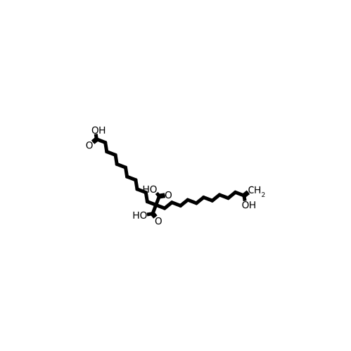 C=C(O)CCCCCCCCCCC(CCCCCCCCCCC(=O)O)(C(=O)O)C(=O)O